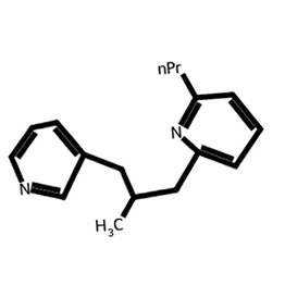 CCCc1cccc(CC(C)Cc2cccnc2)n1